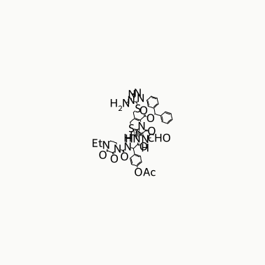 CCN1CCN(C(=O)NC(C(=O)N[C@]2(NC=O)C(=O)N3C(C(=O)OC(c4ccccc4)c4ccccc4)=C(CSc4nnnn4N)CS[C@H]32)c2ccc(OC(C)=O)cc2)C(=O)C1=O